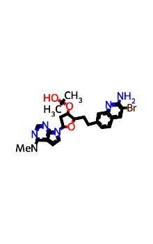 CNc1ncnc2c1ccn2C1CC(OC(C)(C)O)C(CCc2ccc3cc(Br)c(N)nc3c2)O1